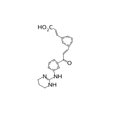 O=C(O)C=Cc1cccc(C=CC(=O)c2cccc(NC3=NCCCN3)c2)c1